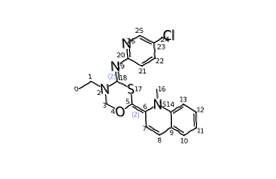 CCN1CO/C(=C2\C=Cc3ccccc3N2C)S/C1=N\c1ccc(Cl)cn1